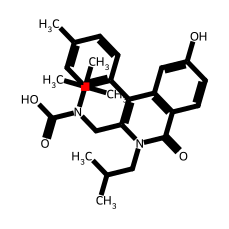 Cc1ccc(-c2c(CN(C(=O)O)C(C)(C)C)n(CC(C)C)c(=O)c3ccc(O)cc23)cc1